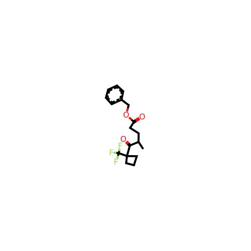 CC(CCC(=O)OCc1ccccc1)C(=O)C1(C(F)(F)F)CCC1